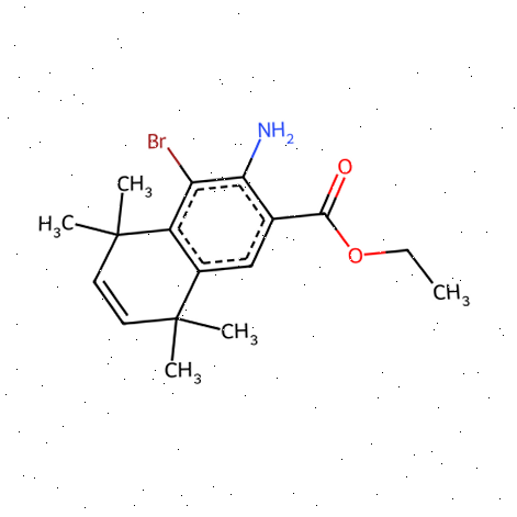 CCOC(=O)c1cc2c(c(Br)c1N)C(C)(C)C=CC2(C)C